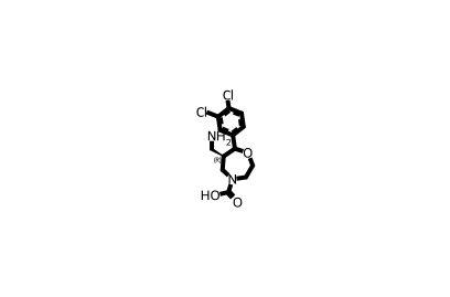 NC[C@@H]1CN(C(=O)O)CCOC1c1ccc(Cl)c(Cl)c1